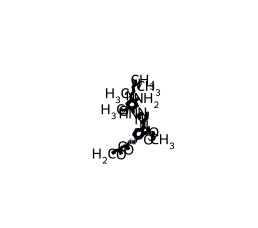 C=CC(=O)OC(=O)/C=C/c1ccc2c(c1)c(S(C)(=O)=O)cn2-c1ccnc(Nc2cc(N)c(N(C)CCN(C)C)cc2OC)n1